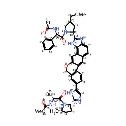 CCC(=O)N[C@@H](C(=O)N1C[C@@H](COC)C[C@H]1c1nc2ccc3cc4c(cc3c2[nH]1)OCc1cc(-c2cnc([C@@H]3CC[C@H](C)N3C(=O)C(NC(=O)OC)[C@@H](C)CC)[nH]2)ccc1-4)c1ccccc1